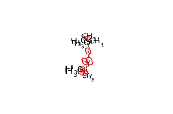 C=C(C)O[Si](C)(C)CCCOCCOC(=O)CCC[Si](OC)(OC)OC